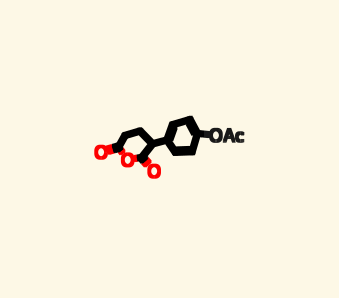 CC(=O)Oc1ccc(C2CCC(=O)OC2=O)cc1